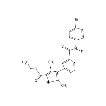 CCOC(=O)c1[nH]c(C)c(-c2cccc(C(=O)N(F)c3ccc(Br)cc3)c2)c1C